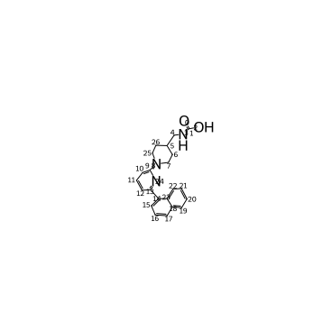 O=C(O)NCC1CCN(c2cccc(-c3cccc4ccccc34)n2)CC1